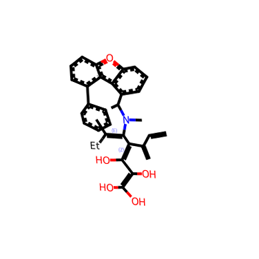 C=CC(=C)C(=C(/O)C(O)=C(O)O)/C(=C(/C)CC)N(C)C(C)c1cccc2oc3cccc(-c4ccccc4)c3c12